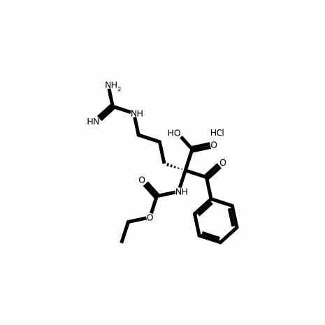 CCOC(=O)N[C@@](CCCNC(=N)N)(C(=O)O)C(=O)c1ccccc1.Cl